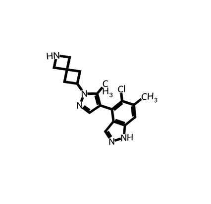 Cc1cc2[nH]ncc2c(-c2cnn(C3CC4(CNC4)C3)c2C)c1Cl